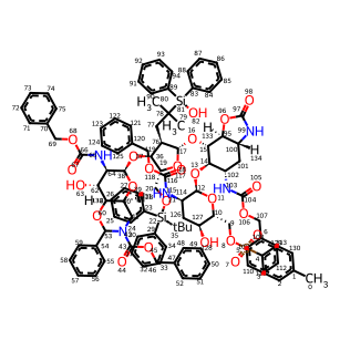 Cc1ccc(S(=O)(=O)OC[C@H]2O[C@H](O[C@H]3[C@H](O[C@@H]4O[C@H](CO[Si](c5ccccc5)(c5ccccc5)C(C)(C)C)[C@@H](O[C@H]5O[C@H]6CN(C(=O)OCc7ccccc7)C(c7ccccc7)O[C@H]6[C@H](O)[C@H]5NC(=O)OCc5ccccc5)[C@H]4CC(C)(C)[Si](O)(c4ccccc4)c4ccccc4)[C@H]4OC(=O)N[C@@H]4C[C@@H]3NC(=O)OCc3ccccc3)[C@H](NC(=O)OCc3ccccc3)C[C@@H]2O)cc1